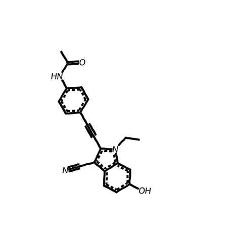 CCn1c(C#Cc2ccc(NC(C)=O)cc2)c(C#N)c2ccc(O)cc21